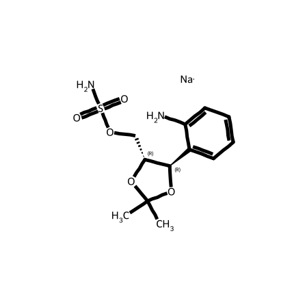 CC1(C)O[C@H](c2ccccc2N)[C@@H](COS(N)(=O)=O)O1.[Na]